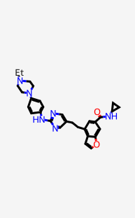 CCN1CCN(c2ccc(Nc3ncc(CCc4cc(C(=O)NC5CC5)cc5occc45)cn3)cc2)CC1